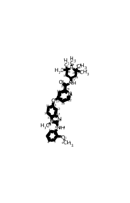 COc1ccccc1Nc1nc2cc(Oc3ccnc(C(=O)NC4CC(C)(C)N(C)C(C)(C)C4)c3)ccc2n1C